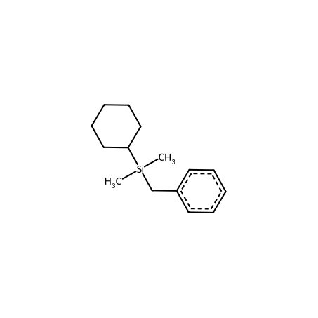 C[Si](C)(Cc1ccccc1)C1CCCCC1